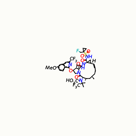 COc1ccc2c(O[C@@H]3C[C@H]4C(=O)N[C@]5(C(=O)NS(=O)(=O)C6(CF)CC6)C[C@H]5C=CCC[C@@H](C)C[C@@H](C)[C@H](N(C(=O)O)C(C)(C)C(F)(F)F)C(=O)N4C3)nc(C(F)(F)F)cc2c1